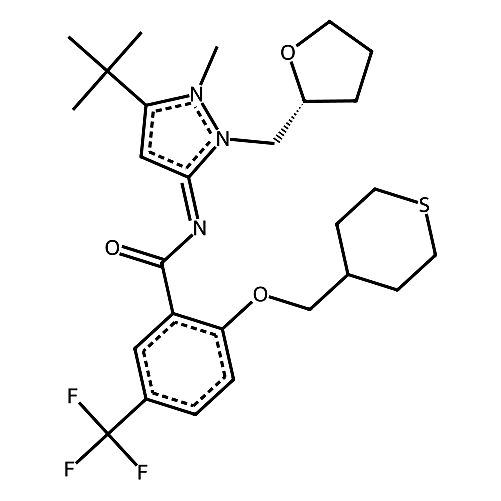 Cn1c(C(C)(C)C)c/c(=N\C(=O)c2cc(C(F)(F)F)ccc2OCC2CCSCC2)n1C[C@H]1CCCO1